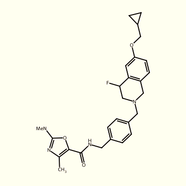 CNc1nc(C)c(C(=O)NCc2ccc(CN3Cc4ccc(OCC5CC5)cc4C(F)C3)cc2)o1